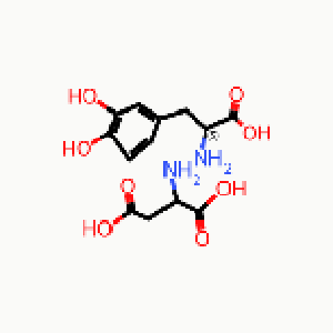 NC(CC(=O)O)C(=O)O.N[C@@H](Cc1ccc(O)c(O)c1)C(=O)O